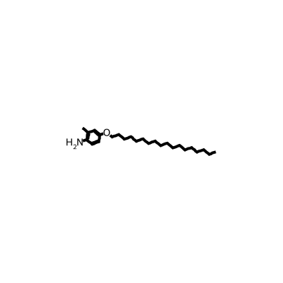 CCCCCCCCCCCCCCCCCCOc1ccc(N)c(C)c1